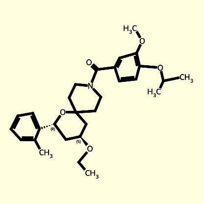 CCO[C@H]1C[C@H](c2ccccc2C)OC2(CCN(C(=O)c3ccc(OC(C)C)c(OC)c3)CC2)C1